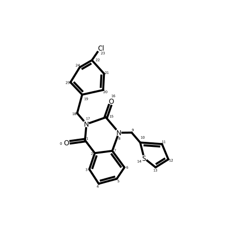 O=c1c2ccccc2n(Cc2cccs2)c(=O)n1Cc1ccc(Cl)cc1